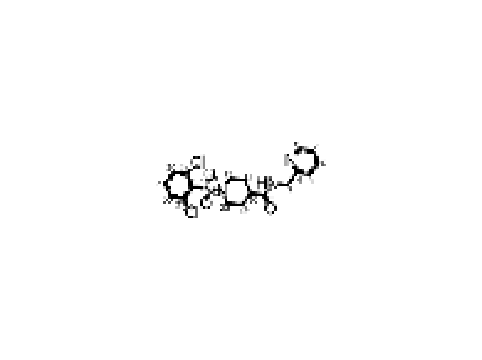 O=C(NCc1ccccn1)C1CCN(S(=O)(=O)c2c(Cl)cccc2Cl)CC1